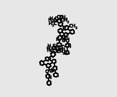 Cc1cc(-c2ccc3c(c2)C(C)(C)C(C)(C)C3(C)C)ncc1-c1ccccc1-c1cc(C(=O)Oc2cnc(-c3ccccc3)c(C)c2)cc(-c2ccccc2-c2cnc(-c3ccc4c(c3)C(C)(C)C(C)(Cc3ccc(-c5ccc(-c6ccccc6-c6cc(C(=O)Oc7ccc(-c8ccccc8)nc7)cc(-c7ccccc7-c7ccc(-c8ccccc8)nc7)c6)cn5)cc3)C4(C)C)cc2C)c1